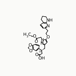 CCOC(=O)Cn1nc(C[C@@H](CC(=O)O)c2ccc3c(c2)OCO3)cc1OCCc1ccc2c(n1)NCCC2